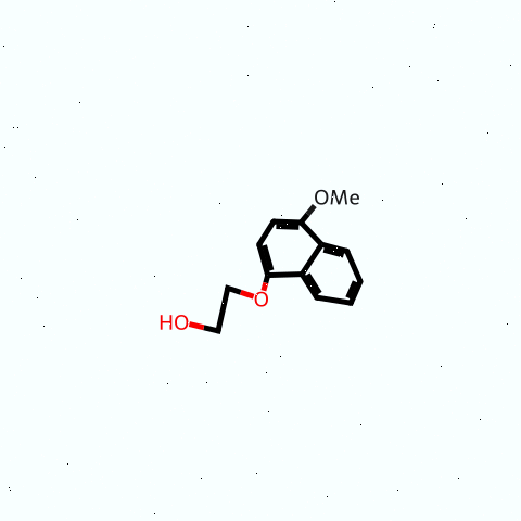 COc1ccc(OCCO)c2ccccc12